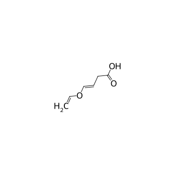 C=COC=CCC(=O)O